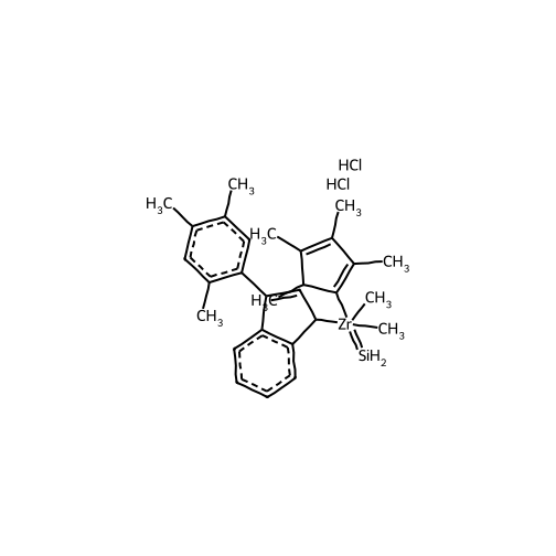 CC1=C(C)C(C)[C]([Zr]([CH3])([CH3])(=[SiH2])[CH]2C=C(c3cc(C)c(C)cc3C)c3ccccc32)=C1C.Cl.Cl